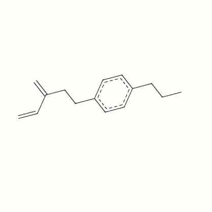 C=CC(=C)CCc1ccc(CCC)cc1